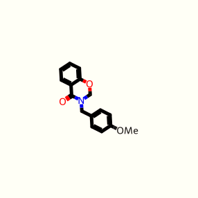 COc1ccc(CN2COc3ccccc3C2=O)cc1